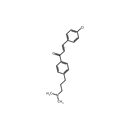 CN(C)CCCc1ccc(C(=O)/C=C/c2ccc(Cl)cc2)cc1